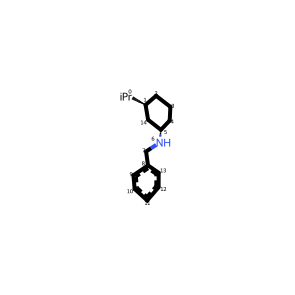 CC(C)[C@H]1CCC[C@H](NCc2ccccc2)C1